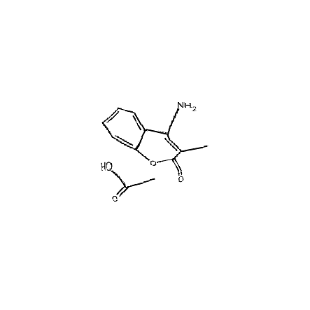 CC(=O)O.Cc1c(N)c2ccccc2oc1=O